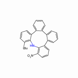 CC(C)(C)c1cccc2c1[nH]c1c([N+](=O)[O-])cccc1c1ccccc1c1ccccc21